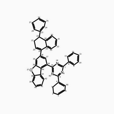 C1=CCCC(c2nc(-c3ccccc3)nc(-c3cc(C4=CCC(c5ccccc5)c5ccccc54)cc4oc5ccccc5c34)n2)=C1